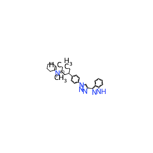 CCC(C[C@H](CC)N(C)C1CCCCC1)c1ccc(-n2cc(-c3n[nH]c4ccccc34)nn2)cc1